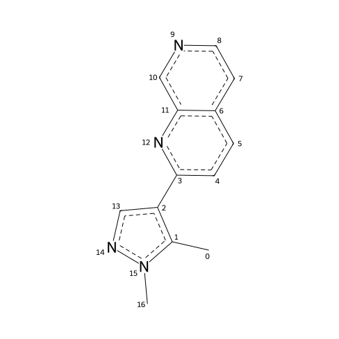 Cc1c(-c2ccc3ccncc3n2)cnn1C